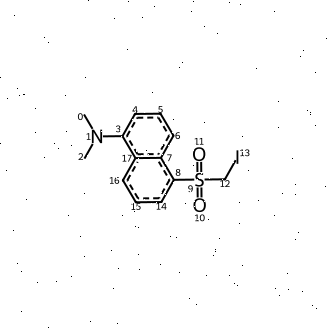 CN(C)c1cccc2c(S(=O)(=O)CI)cccc12